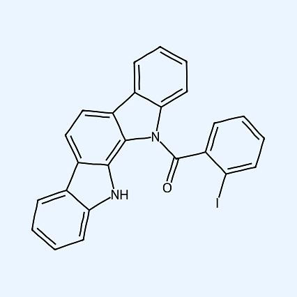 O=C(c1ccccc1I)n1c2ccccc2c2ccc3c4ccccc4[nH]c3c21